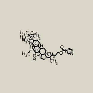 CC[C@H]1[C@@H](O)[C@@H]2[C@H](CC[C@]3(C)[C@@H]([C@H](C)CCCOC(=O)n4ccnc4)CC[C@@H]23)[C@@]2(C)CCC([Si](C)(C)C(C)(C)C)C[C@@H]12